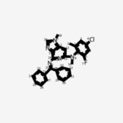 Cc1cc(Cl)cc(F)c1N(C)c1cc2c(ncn2C)c(N=C(c2ccccc2)c2ccccc2)n1